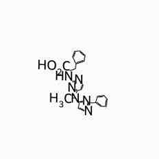 CN(c1ccnc(NC(Cc2ccccc2)C(=O)O)n1)c1ccnc(-c2ccccc2)n1